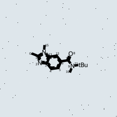 Cc1nc2ccc(C(=O)N(C)C(C)(C)C)cc2n1C